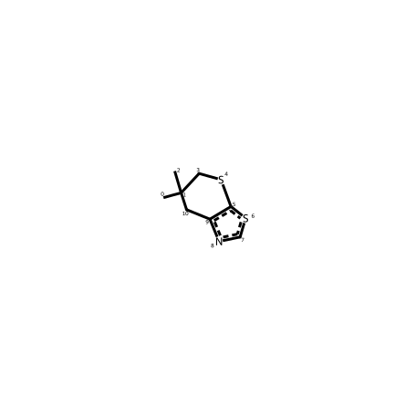 CC1(C)CSc2scnc2C1